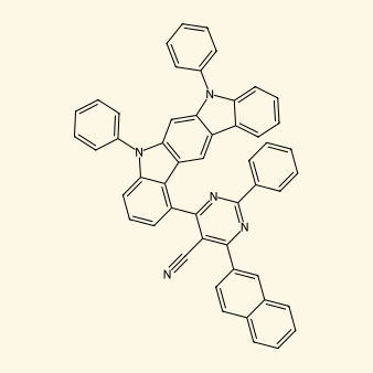 N#Cc1c(-c2ccc3ccccc3c2)nc(-c2ccccc2)nc1-c1cccc2c1c1cc3c4ccccc4n(-c4ccccc4)c3cc1n2-c1ccccc1